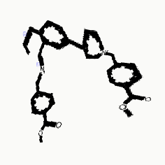 C/C=C\c1ccc(-c2cc[n+](Cc3ccc(C(=O)OC)cc3)cc2)cc1/C=N/Cc1ccc(C(=O)OC)cc1